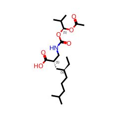 CC[C@@H](CCCC(C)C)C[C@@H](CNC(=O)O[C@H](OC(C)=O)C(C)C)C(=O)O